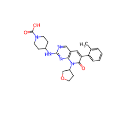 Cc1ccccc1-c1cc2cnc(NC3CCN(C(=O)O)CC3)nc2n(C2CCOC2)c1=O